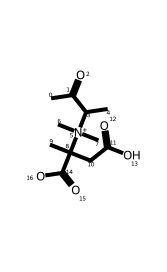 CC(=O)C(C)[N+](C)(C)C(C)(CC(=O)O)C(=O)[O-]